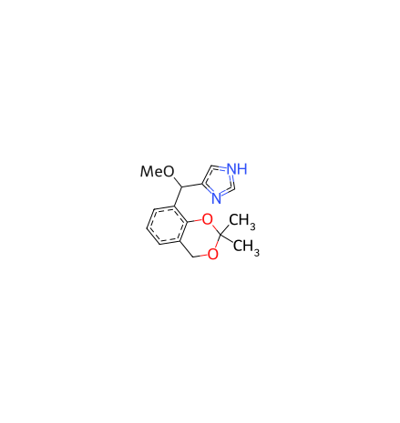 COC(c1c[nH]cn1)c1cccc2c1OC(C)(C)OC2